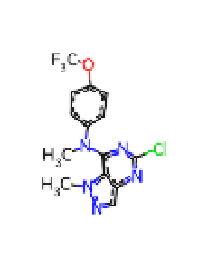 CN(c1ccc(OC(F)(F)F)cc1)c1nc(Cl)nc2cnn(C)c12